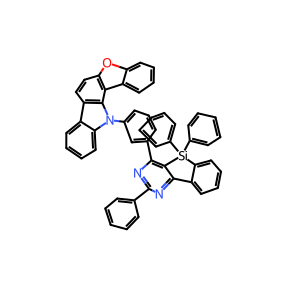 c1ccc(-c2nc(-c3cccc(-n4c5ccccc5c5ccc6oc7ccccc7c6c54)c3)c3c(n2)-c2ccccc2[Si]3(c2ccccc2)c2ccccc2)cc1